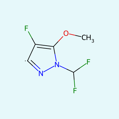 COc1c(F)[c]nn1C(F)F